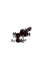 COC(=O)[C@H]1O[C@@H](Oc2ccc(COC(=O)Nc3cc(OCCCCCOc4cc(NC(=O)OCc5ccc(O[C@@H]6O[C@H](C(=O)O)[C@@H](O)[C@H](O)[C@H]6O)c(NC(=O)CCOCCOCCOCCOCCNC(=O)OCC6c7ccccc7-c7ccccc76)c5)c(C(=O)N5CCC[C@H]5CO[Si](C)(C)C(C)(C)C)cc4OC)c(OC)cc3C(=O)N3CCC[C@H]3CO[Si](C)(C)C(C)(C)C)cc2)[C@H](OC(C)=O)[C@@H](OC(C)=O)[C@@H]1OC(C)=O